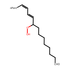 CCCCC/C=C\C=C\C(CCCCCCCC=O)OO